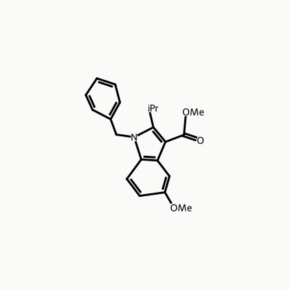 COC(=O)c1c(C(C)C)n(Cc2ccccc2)c2ccc(OC)cc12